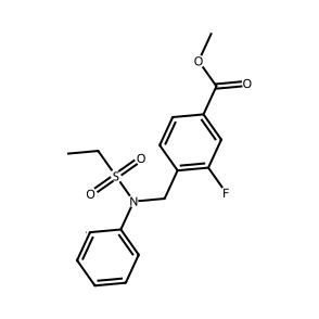 CCS(=O)(=O)N(Cc1ccc(C(=O)OC)cc1F)c1[c]cccc1